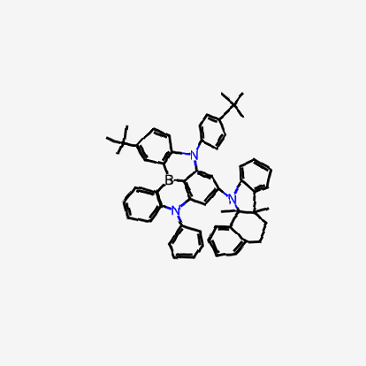 CC(C)(C)c1ccc(N2c3ccc(C(C)(C)C)cc3B3c4ccccc4N(c4ccccc4)c4cc(N5c6ccccc6C6(C)CCc7ccccc7C56C)cc2c43)cc1